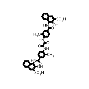 Cc1cc(C(=O)Nc2c(O)c(S(=O)(=O)O)cc3ccccc23)ccc1NC(=O)C(=O)Nc1ccc(C(=O)Nc2c(O)c(S(=O)(=O)O)cc3ccccc23)cc1C